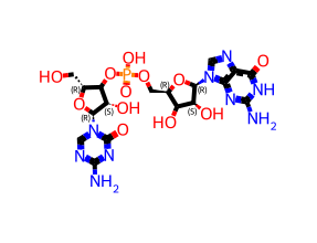 Nc1ncn([C@@H]2O[C@H](CO)C(OP(=O)(O)OC[C@H]3O[C@@H](n4cnc5c(=O)[nH]c(N)nc54)[C@@H](O)C3O)[C@@H]2O)c(=O)n1